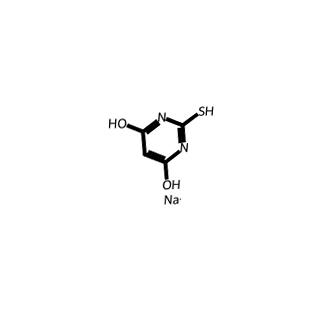 Oc1cc(O)nc(S)n1.[Na]